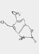 [CH2]c1cc2oc(=O)[nH]c2cc1Cl